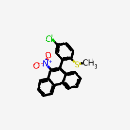 CSc1ccc(Cl)cc1-c1c([N+](=O)[O-])c2ccccc2c2ccccc12